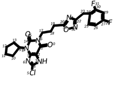 O=c1c2[nH]c(Cl)nc2n(C2CCCC2)c(=O)n1CCCc1nc(Cc2ccc(F)cc2F)no1